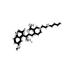 CCCCSCCN1CCC(CC[C@@H](N)c2c(F)cnc3ccc(OC)cc23)C(C(=O)O)C1